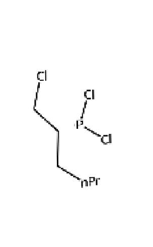 CCCCCCCl.Cl[P]Cl